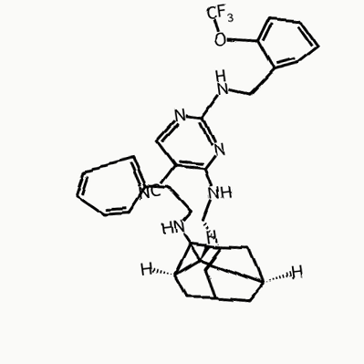 N#Cc1cnc(NCc2ccccc2OC(F)(F)F)nc1NC[C@@]12CC3C[C@H](C1)[C@@H](NCCc1ccccc1)[C@@H](C3)C2